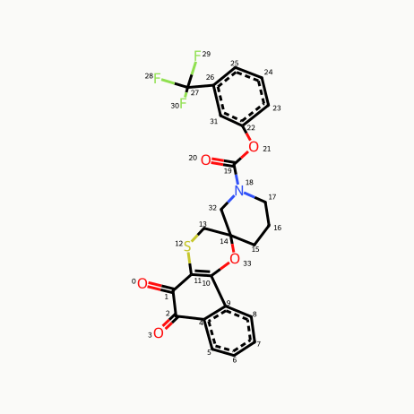 O=C1C(=O)c2ccccc2C2=C1SCC1(CCCN(C(=O)Oc3cccc(C(F)(F)F)c3)C1)O2